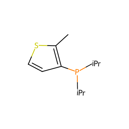 Cc1sccc1P(C(C)C)C(C)C